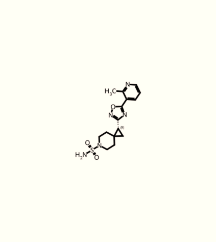 Cc1ncccc1-c1nc([C@@H]2CC23CCN(S(N)(=O)=O)CC3)no1